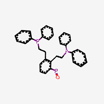 O=Pc1cccc(CCP(c2ccccc2)c2ccccc2)c1CCP(c1ccccc1)c1ccccc1